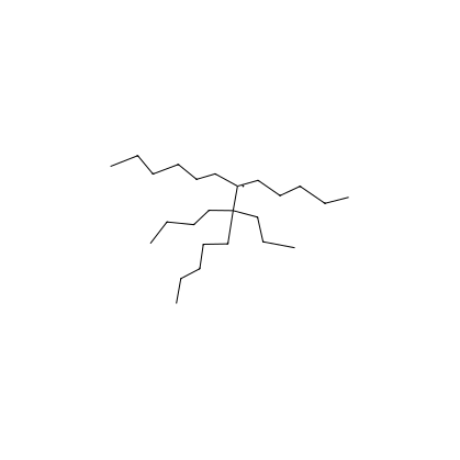 CCCCCC[C](CCCCC)C(CCC)(CCCC)CCCCC